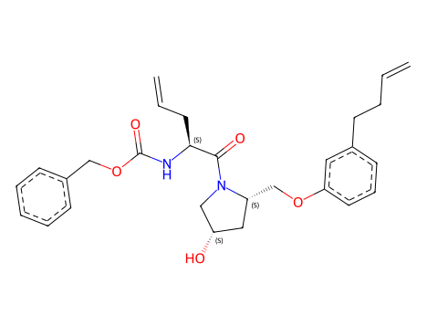 C=CCCc1cccc(OC[C@@H]2C[C@H](O)CN2C(=O)[C@H](CC=C)NC(=O)OCc2ccccc2)c1